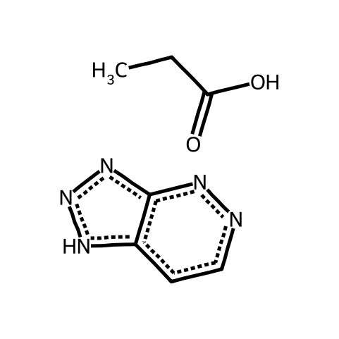 CCC(=O)O.c1cc2[nH]nnc2nn1